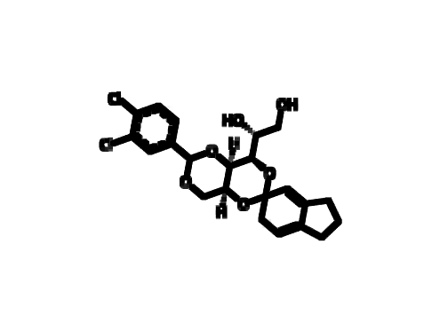 OC[C@@H](O)[C@H]1OC2(C=C3CCCC3=CC2)O[C@H]2COC(c3ccc(Cl)c(Cl)c3)O[C@@H]12